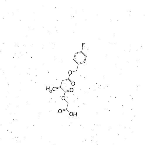 C=C(CC(=O)OCc1ccc(F)cc1)C(=O)OCC(=O)O